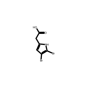 O=C(O)Cc1cc(Br)c(Br)[nH]1